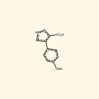 COc1ccc(-c2c[nH]nc2C(=O)O)cc1